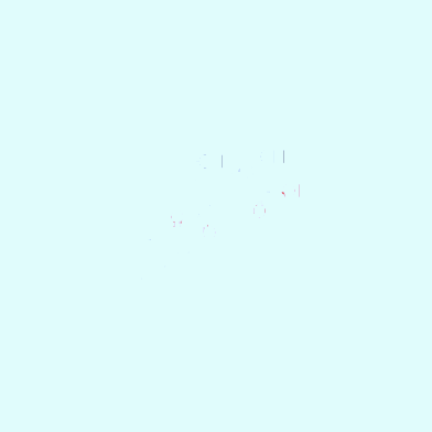 CC=C(CC=C(C)C(=O)O)C(=O)OC1CC2CCC1C2